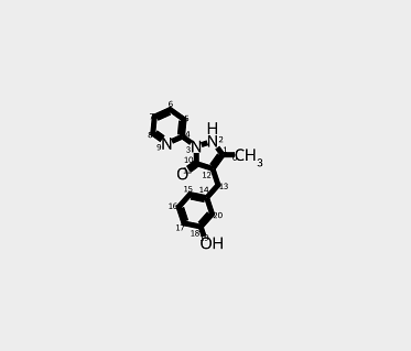 Cc1[nH]n(-c2ccccn2)c(=O)c1Cc1cccc(O)c1